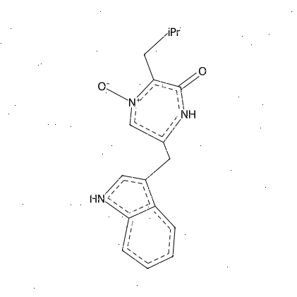 CC(C)Cc1c(=O)[nH]c(Cc2c[nH]c3ccccc23)c[n+]1[O-]